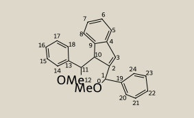 COC(C1=Cc2ccccc2C1C(OC)c1ccccc1)c1ccccc1